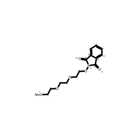 COCCOCCOCCON1C(=O)c2ccccc2C1=O